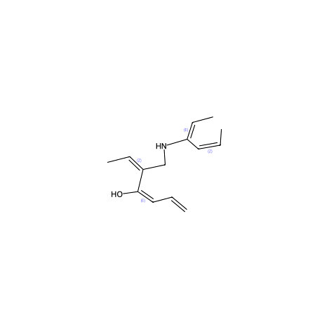 C=C/C=C(O)\C(=C/C)CNC(/C=C\C)=C/C